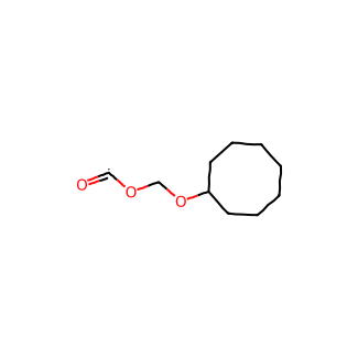 O=[C]OCOC1CCCCCCC1